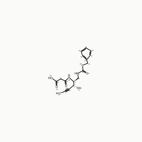 CC#C[C@@H](O)[C@H](CNC(=O)OCc1ccccc1)NC(=O)CC(=O)O